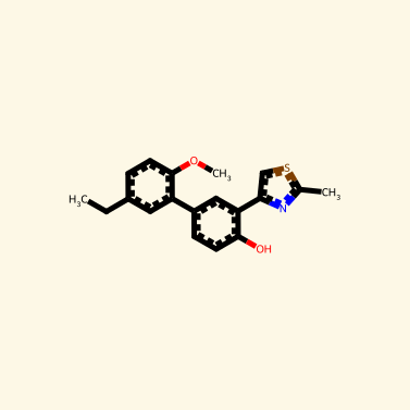 CCc1ccc(OC)c(-c2ccc(O)c(-c3csc(C)n3)c2)c1